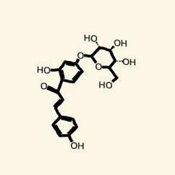 O=C(C=Cc1ccc(O)cc1)c1ccc(OC2OC(CO)[C@@H](O)[C@H](O)[C@H]2O)cc1O